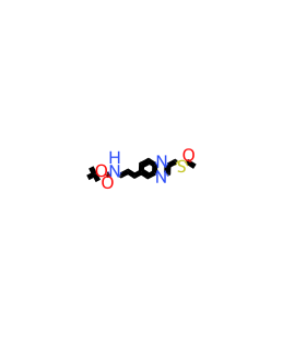 CC(=O)SCc1cnc2cc(CCCNC(=O)OC(C)(C)C)ccc2n1